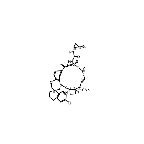 CC[C@@H]1C[C@H]1NC(=O)NS1(=O)=NC(=O)c2ccc3c(c2)N(C[C@@H]2CC[C@H]2[C@@H](OC)/C=C/C[C@H](C)C1)C[C@@]1(CCCc2cc(Cl)ccc21)CO3